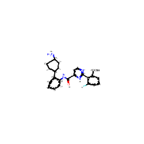 COc1cccc(F)c1-c1nccc(C(=O)Nc2ccccc2C2CCC(N)CC2)n1